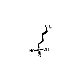 [CH2]C=CCCP(=O)(O)O